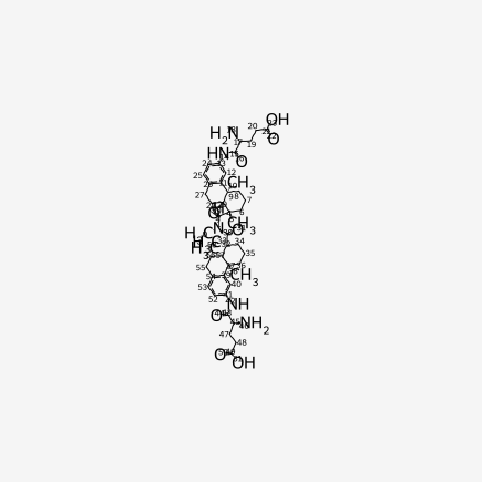 CN(C(=O)[C@@]1(C)CCC[C@]2(C)c3cc(NC(=O)[C@@H](N)CCC(=O)O)ccc3CC[C@@H]12)C(=O)[C@@]1(C)CCC[C@]2(C)c3cc(NC(=O)[C@@H](N)CCC(=O)O)ccc3CC[C@@]12C